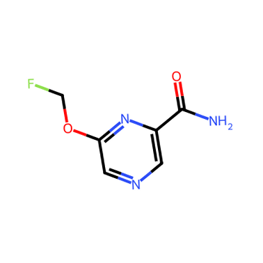 NC(=O)c1cncc(OCF)n1